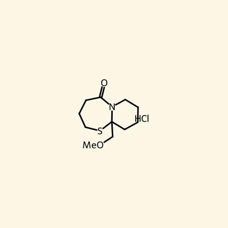 COCC12CCCCN1C(=O)CCCS2.Cl